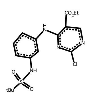 CCOC(=O)c1cnc(Cl)nc1Nc1cccc(NS(=O)(=O)C(C)(C)C)c1